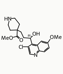 COC(=O)C1(CC[C@@H](O)c2c(Cl)cnc3ccc(OC)cc23)CCNCC1